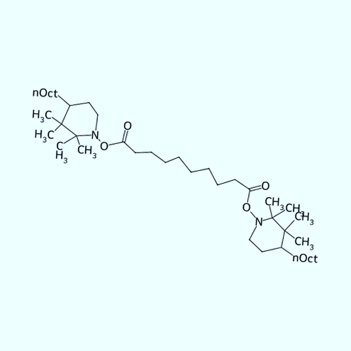 CCCCCCCCC1CCN(OC(=O)CCCCCCCCC(=O)ON2CCC(CCCCCCCC)C(C)(C)C2(C)C)C(C)(C)C1(C)C